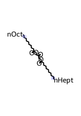 CCCCCCC/C=C/CCCCCCCCC(=O)OCC(=O)COC(=O)CCCCCCC/C=C/CCCCCCCC